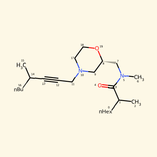 CCCCCCC(C)C(=O)N(C)C[C@@H]1CN(CC#CC(C)CCCC)CCO1